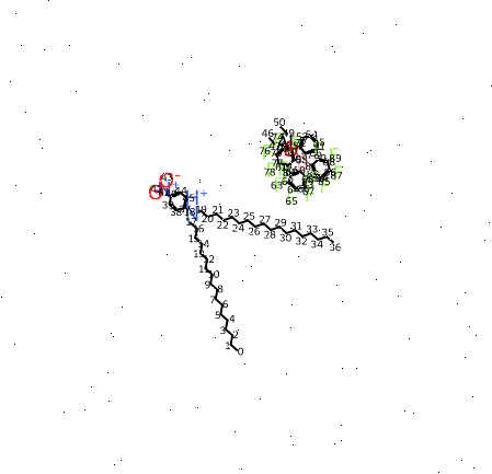 CCCCCCCCCCCCCCCCCC[NH+](CCCCCCCCCCCCCCCCCC)c1ccc([N+](=O)[O-])cc1.C[CH2][Al]([CH2]C)[O]c1ccccc1[B-](c1c(F)c(F)c(F)c(F)c1F)(c1c(F)c(F)c(F)c(F)c1F)c1c(F)c(F)c(F)c(F)c1F